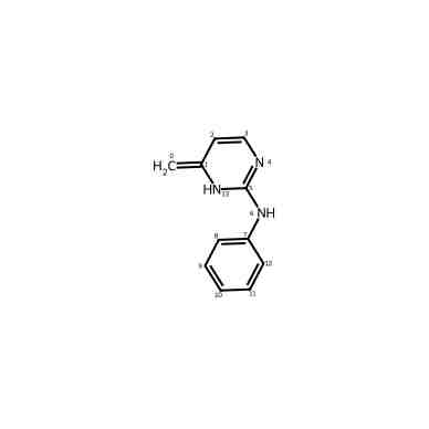 C=C1C=CN=C(Nc2ccccc2)N1